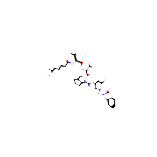 CCCC(NC(=O)C1[C@H]2CCC[C@H]2CN1C(=O)[C@@H](NC(=O)[C@H](NC(=O)CCCCc1nnn[nH]1)C(C)C)C(C)C)C(=O)C(=O)N[C@@H](Cc1ccccc1)C(=O)O